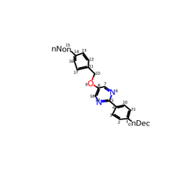 CCCCCCCCCCc1ccc(-c2ncc(OCc3ccc(CCCCCCCCC)cc3)cn2)cc1